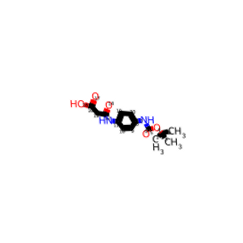 CC(C)(C)OC(=O)Nc1ccc(NC(=O)CC(=O)O)cc1